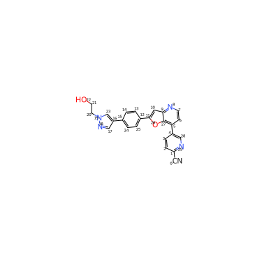 N#Cc1ccc(-c2ccnc3cc(-c4ccc(-c5cnn(CCO)c5)cc4)oc23)cn1